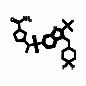 CC(N1CCC(C(N)=O)C1)S(=O)(=O)c1ccc2c(c1)nc(C(C)(C)C)n2CC1CCC(F)(F)CC1